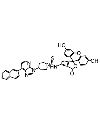 O=C1OC2(c3ccc(O)cc3Oc3cc(O)ccc32)c2ccc(NC(=S)N3CCC(n4cnc5c(-c6ccc7ccccc7c6)ccnc54)CC3)cc21